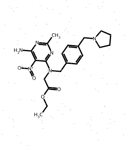 CCOC(=O)CN(Cc1ccc(CN2CCCC2)cc1)c1nc(C)nc(N)c1[N+](=O)[O-]